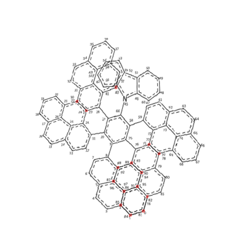 c1cc2ccc3ccc(-c4c(-c5ccc6ccc7cccc8ccc5c6c78)c(-c5ccc6ccc7cccc8ccc5c6c78)c(-n5c6ccccc6c6ccccc65)c(-c5ccc6ccc7cccc8ccc5c6c78)c4-c4ccc5ccc6cccc7ccc4c5c67)c4ccc(c1)c2c34